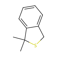 CC1(C)SCc2ccccc21